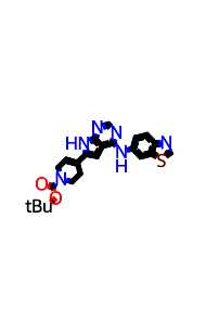 CC(C)(C)OC(=O)N1CC=C(c2cc3c(Nc4ccc5ncsc5c4)ncnc3[nH]2)CC1